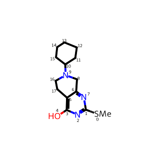 CSc1nc(O)c2c(n1)CN(C1CCCCC1)CC2